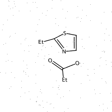 CCC([O])=O.CCc1nccs1